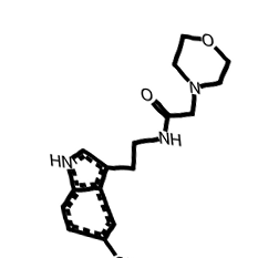 O=C(CN1CCOCC1)NCCc1c[nH]c2ccc(O)cc12